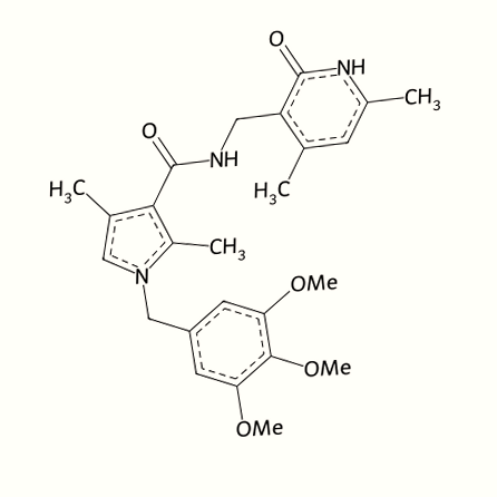 COc1cc(Cn2cc(C)c(C(=O)NCc3c(C)cc(C)[nH]c3=O)c2C)cc(OC)c1OC